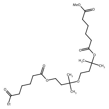 CCC(=O)CCCCC(=O)OCCC(C)(C)OCCC(C)(C)OC(=O)CCCCC(=O)OC